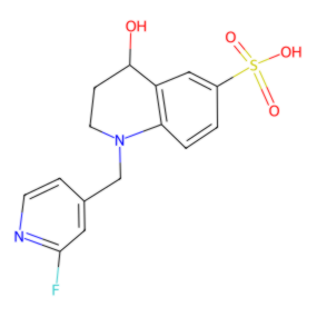 O=S(=O)(O)c1ccc2c(c1)C(O)CCN2Cc1ccnc(F)c1